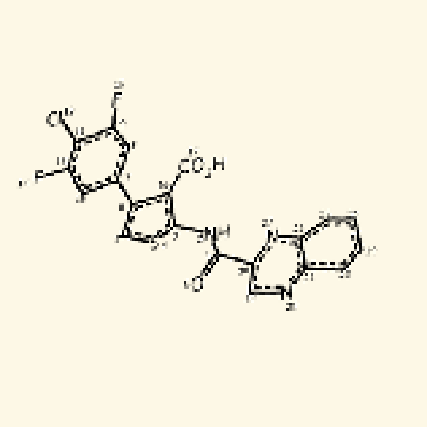 O=C(Nc1scc(-c2cc(F)c(Cl)c(F)c2)c1C(=O)O)c1cnc2ccccc2n1